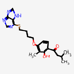 Cc1c(OCCCCSc2ncnc3nc[nH]c23)ccc(C(=O)CC(C)C)c1O